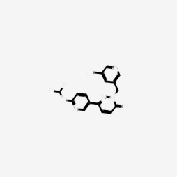 O=c1ccc(-c2ccc(OC(F)F)nc2)nn1Cc1cncc(Cl)c1